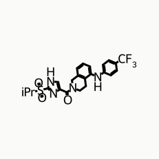 CC(C)S(=O)(=O)c1nc(C(=O)N2CCc3c(cccc3Nc3ccc(C(F)(F)F)cc3)C2)c[nH]1